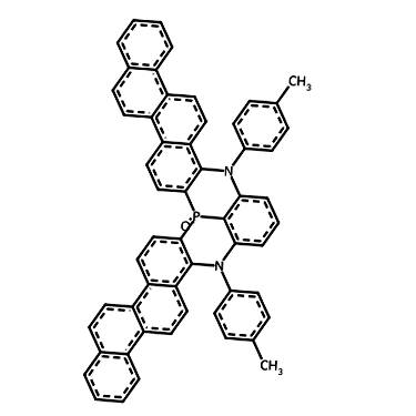 Cc1ccc(N2c3cccc4c3P(=O)(c3ccc5c(ccc6c7ccccc7ccc56)c32)c2ccc3c(ccc5c6ccccc6ccc35)c2N4c2ccc(C)cc2)cc1